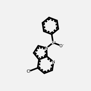 [O-][S+](c1ccccc1)n1ccc2c(Cl)ccnc21